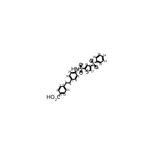 O=C(O)c1ccc(CCc2ccc(NS(=O)(=O)c3cc(S(=O)(=O)c4ccccc4)cs3)cc2)cc1